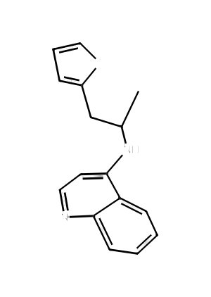 CC(Cc1cccs1)Nc1ccnc2ccccc12